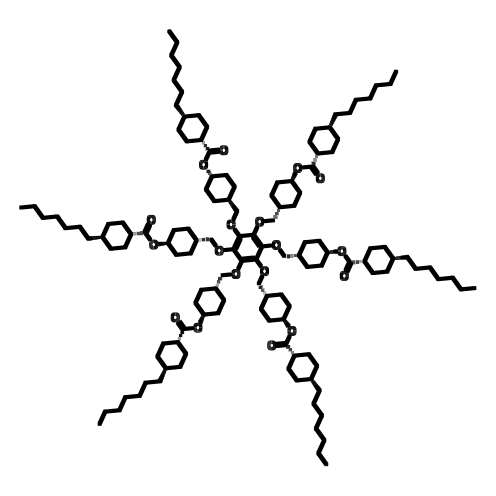 CCCCCCC[C@H]1CC[C@H](C(=O)O[C@H]2CC[C@H](COc3c(OC[C@H]4CC[C@H](OC(=O)[C@H]5CC[C@H](CCCCCCC)CC5)CC4)c(OC[C@H]4CC[C@H](OC(=O)[C@H]5CC[C@H](CCCCCCC)CC5)CC4)c(OC[C@H]4CC[C@H](OC(=O)[C@H]5CC[C@H](CCCCCCC)CC5)CC4)c(OC[C@H]4CC[C@H](OC(=O)[C@H]5CC[C@H](CCCCCCC)CC5)CC4)c3OC[C@H]3CC[C@H](OC(=O)[C@H]4CC[C@H](CCCCCCC)CC4)CC3)CC2)CC1